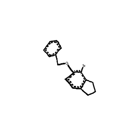 Brc1c(OCc2ccccc2)ccc2c1CCC2